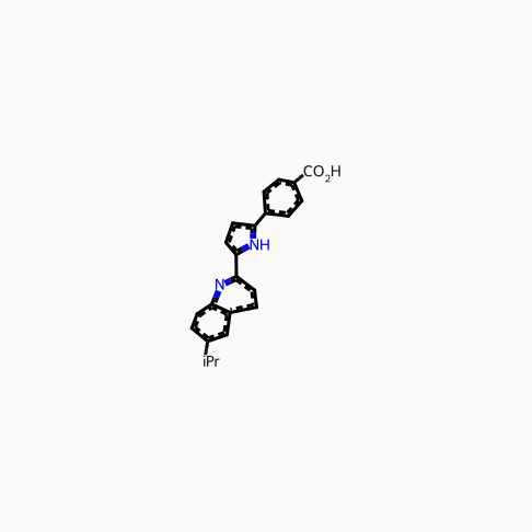 CC(C)c1ccc2nc(-c3ccc(-c4ccc(C(=O)O)cc4)[nH]3)ccc2c1